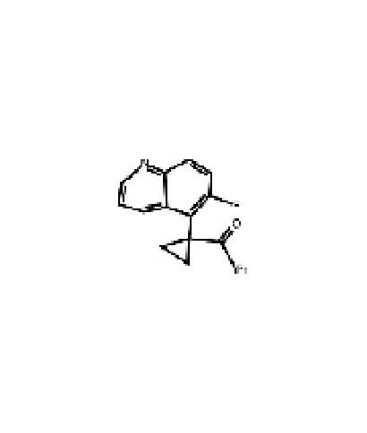 CC(C)C(=O)C1(c2c(F)ccc3ncccc23)CC1